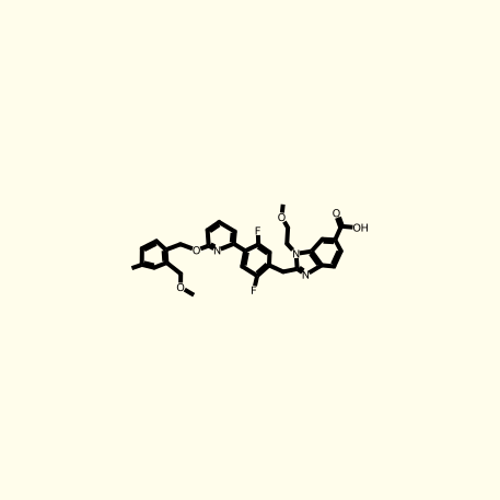 COCCn1c(Cc2cc(F)c(-c3cccc(OCc4ccc(C)cc4COC)n3)cc2F)nc2ccc(C(=O)O)cc21